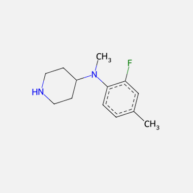 Cc1ccc(N(C)C2CCNCC2)c(F)c1